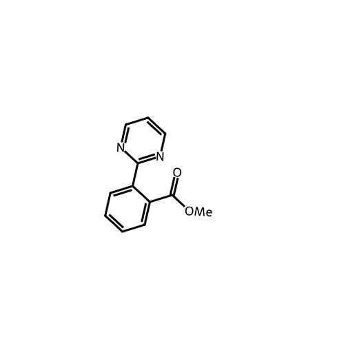 COC(=O)c1ccccc1-c1ncccn1